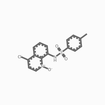 Cc1ccc(S(=O)(=O)Nc2cccc3c(Cl)cc[n+]([O-])c23)cc1